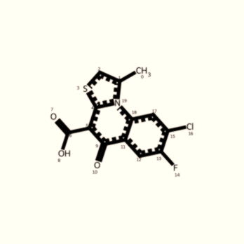 Cc1csc2c(C(=O)O)c(=O)c3cc(F)c(Cl)cc3n12